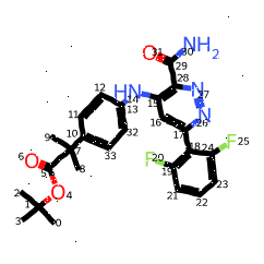 CC(C)(C)OC(=O)C(C)(C)c1ccc(Nc2cc(-c3c(F)cccc3F)nnc2C(N)=O)cc1